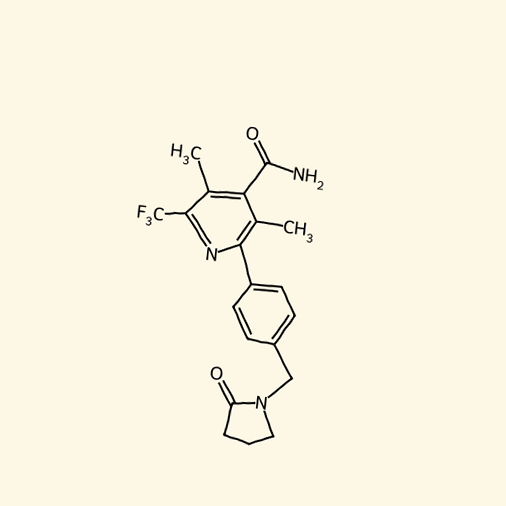 Cc1c(-c2ccc(CN3CCCC3=O)cc2)nc(C(F)(F)F)c(C)c1C(N)=O